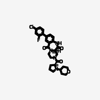 O=C1Nc2ccc(-c3ccc(Cl)cc3F)cc2C(=O)N2CCN(C(=O)[C@@H]3CCCN3C3CCOCC3)C[C@H]12